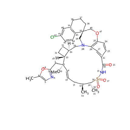 CO[C@@]1(Cc2ncc(C)o2)/C=C/C[C@H](C)[C@@H](C)S(=O)(=O)NC(=O)c2ccc3c(c2)N(C[C@@H]2CC[C@H]21)C[C@@]1(CCCc2cc(Cl)ccc21)CO3